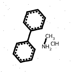 CN.Cl.c1ccc(-c2ccccc2)cc1